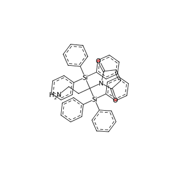 NCCC(N1C(=O)C=CC1=O)([Si](c1ccccc1)(c1ccccc1)c1ccccc1)[Si](c1ccccc1)(c1ccccc1)c1ccccc1